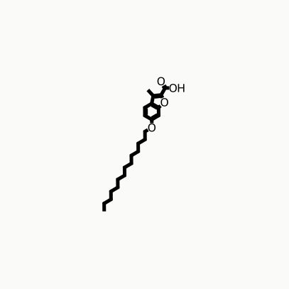 CCCCCCCCCCCCCCOc1ccc2c(C)c(C(=O)O)oc2c1